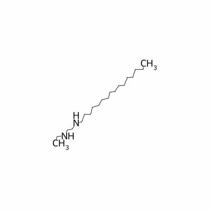 CCCCCCCCCCCCCCCCNCCNCC